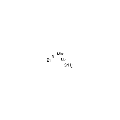 [Cu].[Mn].[Ni].[SnH2].[Zn]